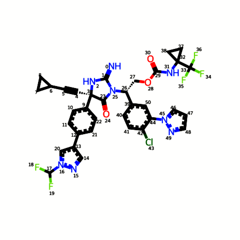 N=C1N[C@](C#CC2CC2)(c2ccc(-c3cnn(C(F)F)c3)cc2)C(=O)N1[C@H](COC(=O)NC1(C(F)(F)F)CC1)c1ccc(Cl)c(-n2cccn2)c1